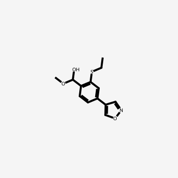 CCSc1cc(-c2cnoc2)ccc1C(O)OC